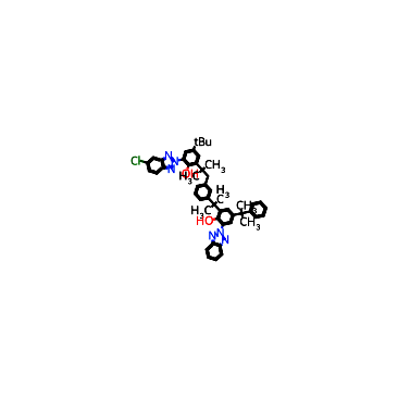 CC(C)(C)c1cc(-n2nc3ccc(Cl)cc3n2)c(O)c(C(C)(C)Cc2cccc(C(C)(C)c3cc(C(C)(C)c4ccccc4)cc(-n4nc5ccccc5n4)c3O)c2)c1